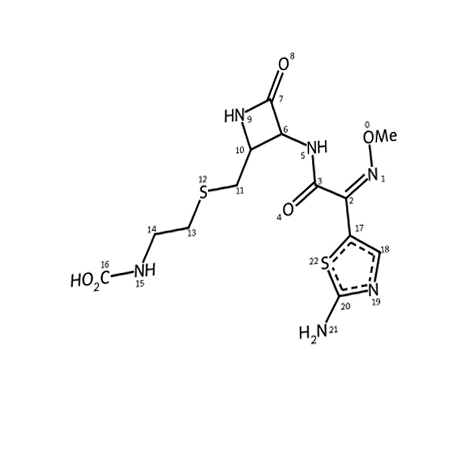 CO/N=C(\C(=O)NC1C(=O)NC1CSCCNC(=O)O)c1cnc(N)s1